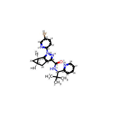 CC(C)(C)[C@@H](NC(=O)c1nn(-c2ccc(Br)cn2)c2c1C[C@H]1C[C@@H]21)c1ccccn1